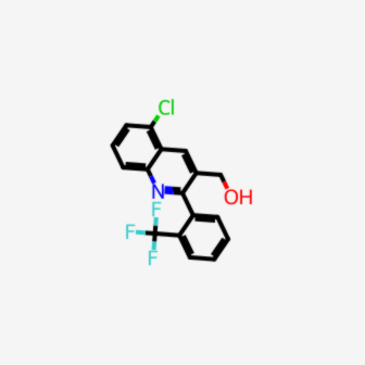 OCc1cc2c(Cl)cccc2nc1-c1ccccc1C(F)(F)F